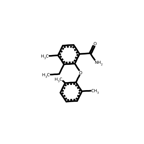 CCc1c(C)ccc(C(N)=O)c1Oc1c(C)cccc1C